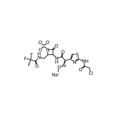 CON=C(C(=O)NC1C(=O)N(S(=O)(=O)[O-])C1CNC(=O)C(F)(F)F)c1csc(NC(=O)CCl)n1.[Na+]